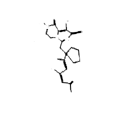 C=C(C)/C=C(Br)\C=C(/C)C1(Cc2nc(=O)c(O)c3n2C[C@H](C)N(C)C3=O)CCCC1